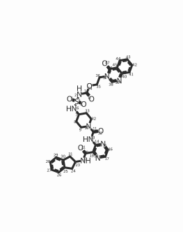 O=C(NS(=O)(=O)NC1CCN(C(=O)Nc2nccnc2C(=O)NC2Cc3ccccc3C2)CC1)OCCn1cnc2ccccc2c1=O